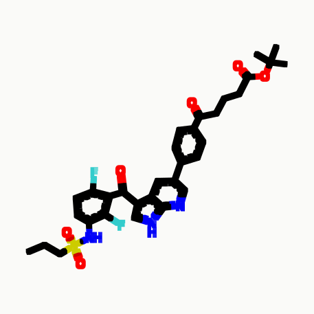 CCCS(=O)(=O)Nc1ccc(F)c(C(=O)c2c[nH]c3ncc(-c4ccc(C(=O)CCCC(=O)OC(C)(C)C)cc4)cc23)c1F